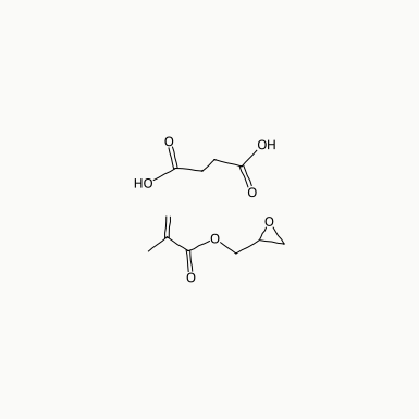 C=C(C)C(=O)OCC1CO1.O=C(O)CCC(=O)O